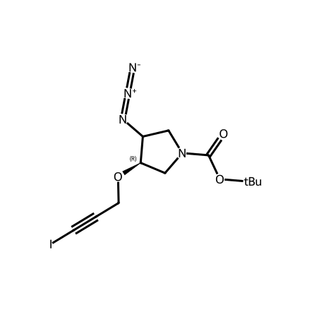 CC(C)(C)OC(=O)N1CC(N=[N+]=[N-])[C@H](OCC#CI)C1